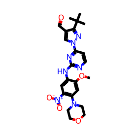 COc1cc(N2CCOCC2)c([N+](=O)[O-])cc1Nc1nccc(-n2cc(C=O)c(C(C)(C)C)n2)n1